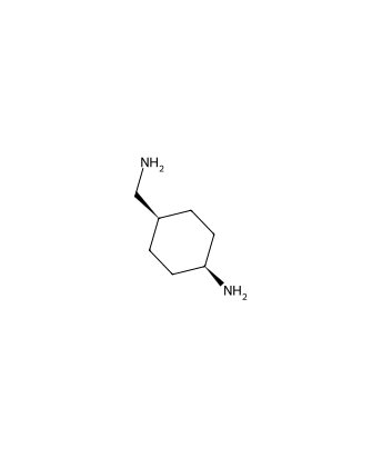 NC[C@H]1CC[C@@H](N)CC1